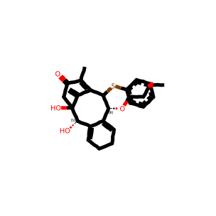 C=C1C2=C(C)C(=O)CC1(O)[C@@H](O)C1=CCCC=C1[C@@H](OCCCC)C2Sc1ccccc1